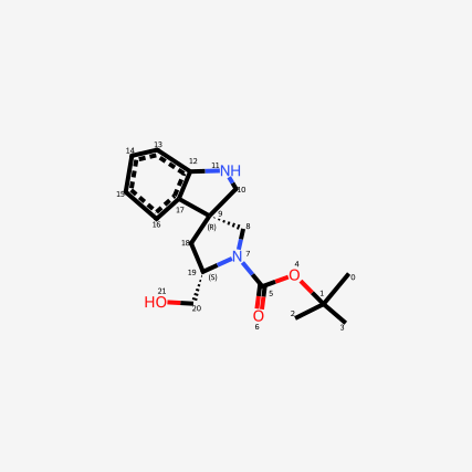 CC(C)(C)OC(=O)N1C[C@]2(CNc3ccccc32)C[C@H]1CO